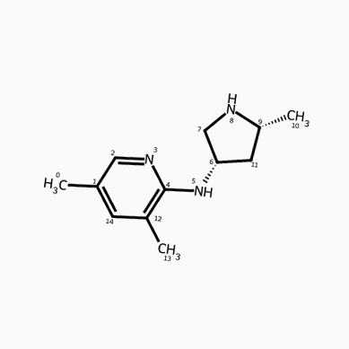 Cc1cnc(N[C@@H]2CN[C@H](C)C2)c(C)c1